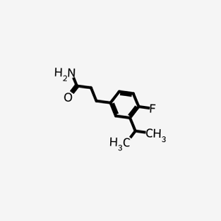 CC(C)c1cc(CCC(N)=O)ccc1F